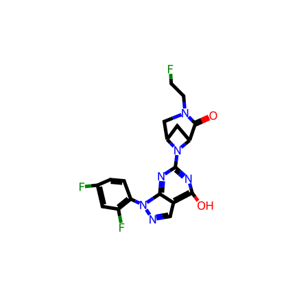 O=C1C2CC(CN1CCF)N2c1nc(O)c2cnn(-c3ccc(F)cc3F)c2n1